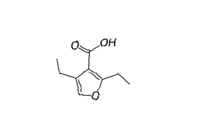 CCc1coc(CC)c1C(=O)O